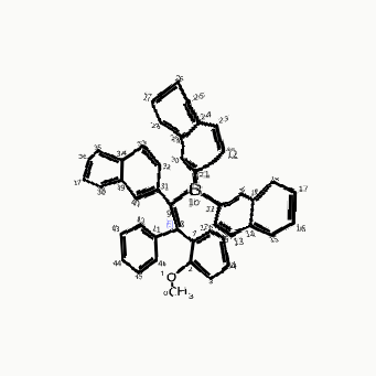 COc1ccccc1/C(=C(\B(c1ccc2ccccc2c1)c1ccc2ccccc2c1)c1ccc2ccccc2c1)c1ccccc1